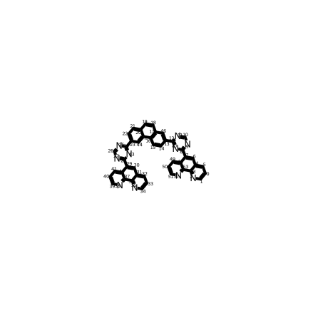 c1cnc2c(c1)cc(-c1ncnc(-c3ccc4c(ccc5ccc(-c6ncnc(-c7cc8cccnc8c8ncccc78)n6)cc54)c3)n1)c1cccnc12